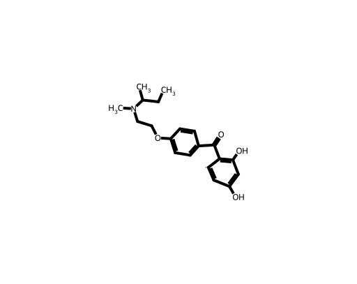 CCC(C)N(C)CCOc1ccc(C(=O)c2[c]cc(O)cc2O)cc1